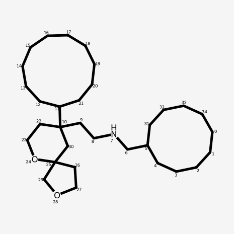 C1CCCCC(CNCCC2(C3CCCCCCCCCC3)CCOC3(CCOC3)C2)CCCC1